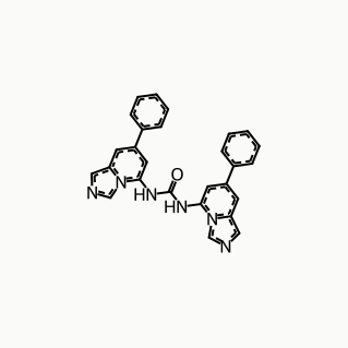 O=C(Nc1cc(-c2ccccc2)cc2cncn12)Nc1cc(-c2ccccc2)cc2cncn12